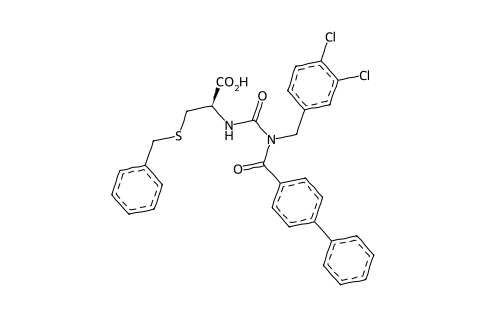 O=C(O)[C@H](CSCc1ccccc1)NC(=O)N(Cc1ccc(Cl)c(Cl)c1)C(=O)c1ccc(-c2ccccc2)cc1